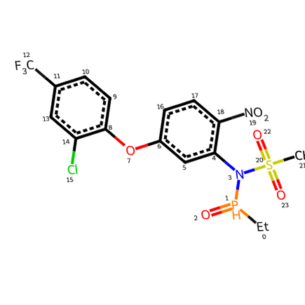 CC[PH](=O)N(c1cc(Oc2ccc(C(F)(F)F)cc2Cl)ccc1[N+](=O)[O-])S(C)(=O)=O